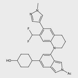 CC(=O)n1cc2cc(C3CCC(O)CC3)cc(N3CCCc4cc(-c5cnn(C)c5)c(C(F)F)cc43)c2c1